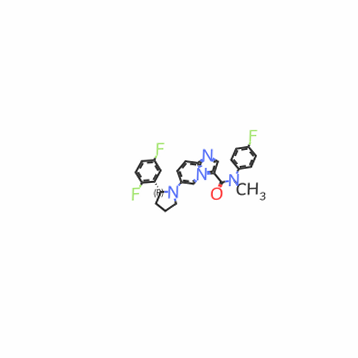 CN(C(=O)c1cnc2ccc(N3CCC[C@@H]3c3cc(F)ccc3F)cn12)c1ccc(F)cc1